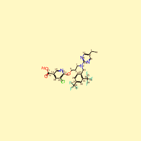 CCc1cnc(N(CCCOc2ncc(C(=O)O)cc2Cl)Cc2ccc(C(F)(F)F)cc2C(F)(F)F)nc1